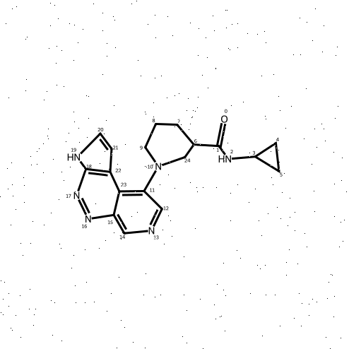 O=C(NC1CC1)C1CCCN(c2cncc3nnc4[nH]ccc4c23)C1